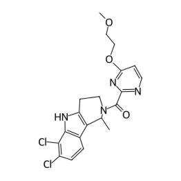 COCCOc1ccnc(C(=O)N2CCc3[nH]c4c(Cl)c(Cl)ccc4c3C2C)n1